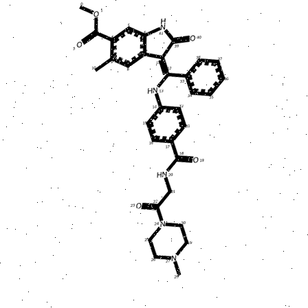 COC(=O)c1cc2c(cc1C)/C(=C(\Nc1ccc(C(=O)NCC(=O)N3CCN(C)CC3)cc1)c1ccccc1)C(=O)N2